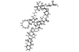 CC[C@H](C)[C@@H]([C@@H](CC(=O)N1CCC[C@H]1[C@H](OC)[C@@H](C)C(=O)N[C@@H](Cc1ccccc1)C(=O)O)OC)N(C)C(=O)[C@@H](NC(=O)[C@H](C(C)C)N(C)C(=O)OCc1ccc(NC(=O)[C@H](CCCNC(N)=O)NC(=O)[C@@H](NC(=O)CCCCCC2C(=O)C=C(SC3CCCCCCCCCC3)C2=O)C(C)C)cc1)C(C)C